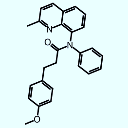 COc1ccc(CCC(=O)N(c2ccccc2)c2cccc3ccc(C)nc23)cc1